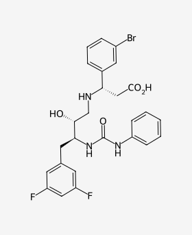 O=C(O)C[C@H](NC[C@@H](O)[C@H](Cc1cc(F)cc(F)c1)NC(=O)Nc1ccccc1)c1cccc(Br)c1